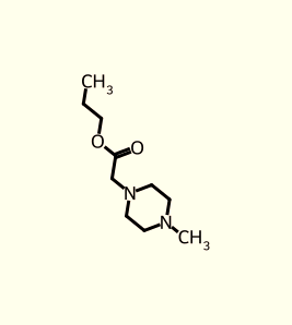 CCCOC(=O)CN1CCN(C)CC1